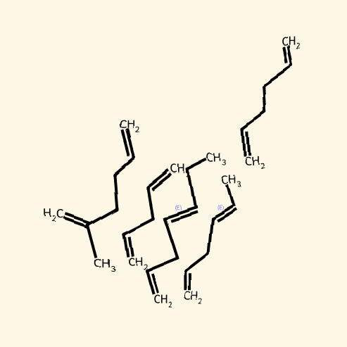 C=CC/C=C/C.C=CC/C=C/CC.C=CCC=C.C=CCCC(=C)C.C=CCCC=C